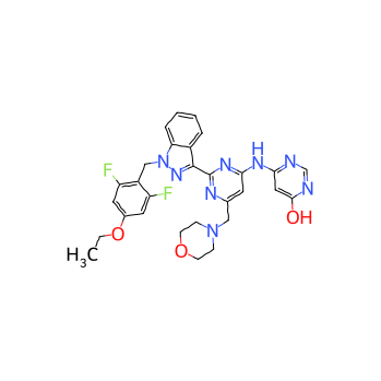 CCOc1cc(F)c(Cn2nc(-c3nc(CN4CCOCC4)cc(Nc4cc(O)ncn4)n3)c3ccccc32)c(F)c1